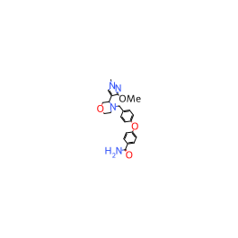 COc1nn(C)cc1C1COCCN1Cc1ccc(Oc2ccc(C(N)=O)cc2)cc1